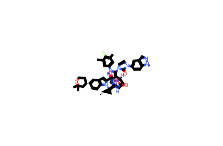 Cc1cc(-n2nc3c(c2-n2ccn(-c4ccc5c(cnn5C)c4)c2=O)[C@@H]2CC[C@H](C3)N2C(=O)c2cc3cc([C@H]4CCOC(C)(C)C4)ccc3n2[C@@]2(c3noc(=O)[nH]3)C[C@@H]2C)cc(C)c1F